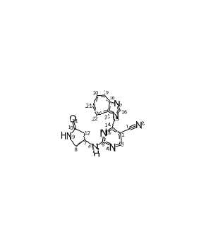 N#Cc1cnc(NC2CNC(=O)C2)nc1-n1cnc2ccccc21